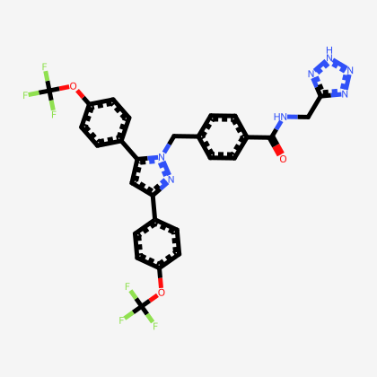 O=C(NCc1nn[nH]n1)c1ccc(Cn2nc(-c3ccc(OC(F)(F)F)cc3)cc2-c2ccc(OC(F)(F)F)cc2)cc1